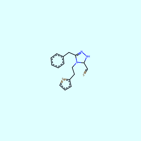 S=CC1NN=C(Cc2ccccc2)N1CCc1cccs1